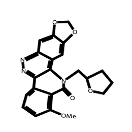 COc1cccc2c1c(=O)n(CC1CCCO1)c1c3cc4c(cc3nnc21)OCO4